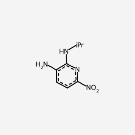 CC(C)Nc1nc([N+](=O)[O-])ccc1N